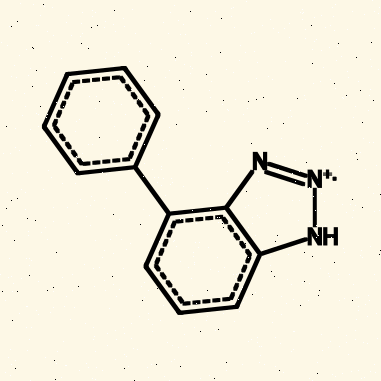 c1ccc(-c2cccc3c2N=[N+]N3)cc1